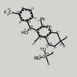 CC(C)c1nc2c(c(I)c1[C@@H](O)c1cccc(C(F)(F)F)c1)[C@@H](O[Si](C)(C)C(C)(C)C)CC(C)(C)C2